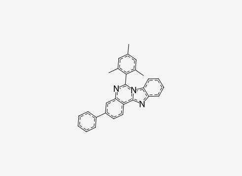 Cc1cc(C)c(-c2nc3cc(-c4ccccc4)ccc3c3nc4ccccc4n23)c(C)c1